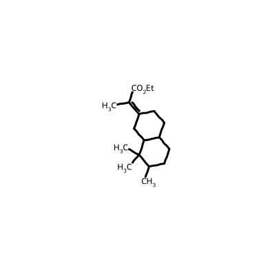 CCOC(=O)C(C)=C1CCC2CCC(C)C(C)(C)C2C1